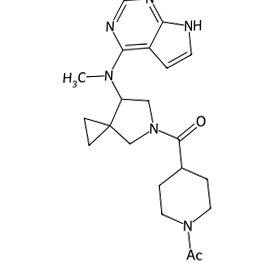 CC(=O)N1CCC(C(=O)N2CC(N(C)c3ncnc4[nH]ccc34)C3(CC3)C2)CC1